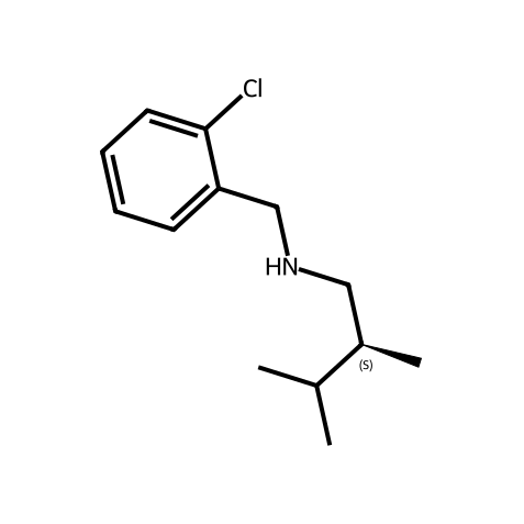 CC(C)[C@H](C)CNCc1ccccc1Cl